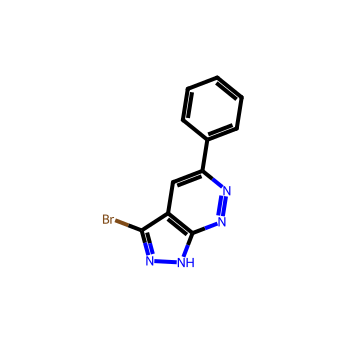 Brc1n[nH]c2nnc(-c3ccccc3)cc12